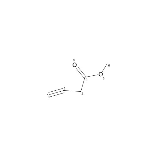 [C]#CCC(=O)OC